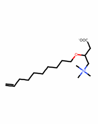 C=CCCCCCCCCOC(CC(=O)[O-])C[N+](C)(C)C